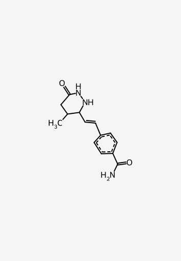 CC1CC(=O)NNC1/C=C/c1ccc(C(N)=O)cc1